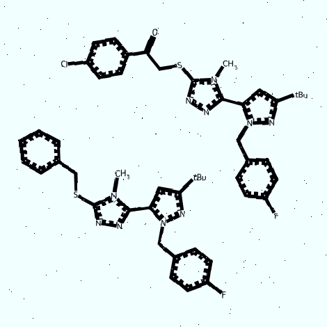 Cn1c(SCC(=O)c2ccc(Cl)cc2)nnc1-c1cc(C(C)(C)C)nn1Cc1ccc(F)cc1.Cn1c(SCc2ccccc2)nnc1-c1cc(C(C)(C)C)nn1Cc1ccc(F)cc1